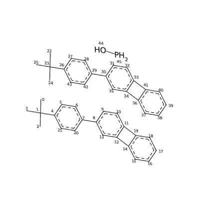 CC(C)(C)c1ccc(-c2ccc3c(c2)-c2ccccc2-3)cc1.CC(C)(C)c1ccc(-c2ccc3c(c2)-c2ccccc2-3)cc1.OP